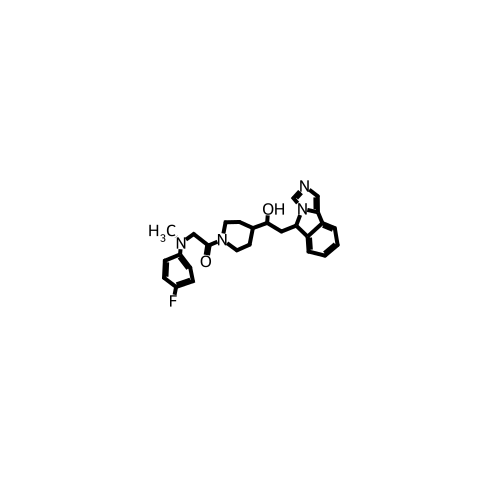 CN(CC(=O)N1CCC(C(O)CC2c3ccccc3-c3cncn32)CC1)c1ccc(F)cc1